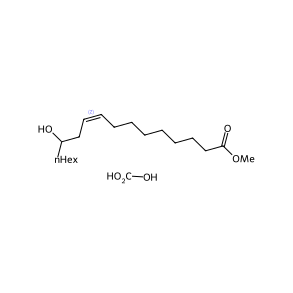 CCCCCCC(O)C/C=C\CCCCCCCC(=O)OC.O=C(O)O